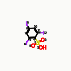 O=S(=O)(O)c1c(I)cc(I)cc1I